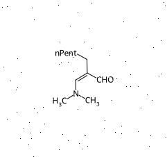 CCCCCCC(C=O)=CN(C)C